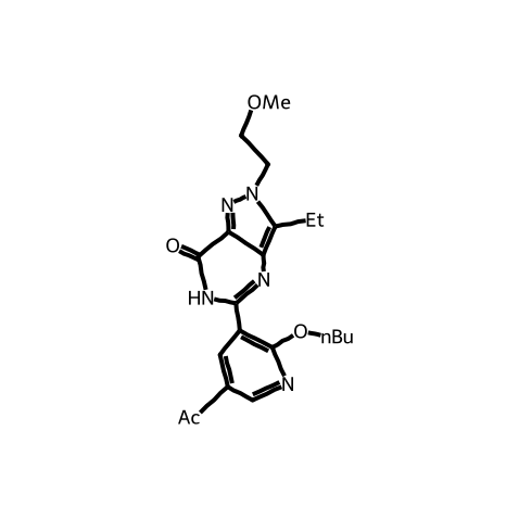 CCCCOc1ncc(C(C)=O)cc1-c1nc2c(CC)n(CCOC)nc2c(=O)[nH]1